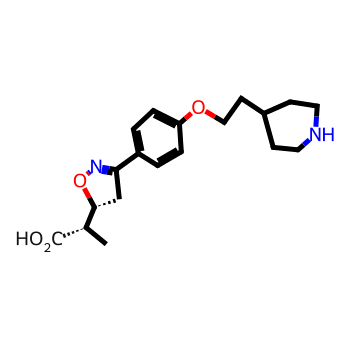 C[C@H](C(=O)O)[C@H]1CC(c2ccc(OCCC3CCNCC3)cc2)=NO1